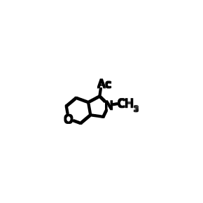 CC(=O)C1C2CCOCC2CN1C